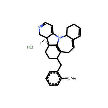 COc1ccccc1CC1CC[C@H]2C3=C1CC=C1C=CCCC1N3C1=CC=NC[C@@H]12.Cl